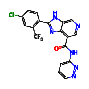 O=C(Nc1cccnn1)c1cncc2[nH]c(-c3ccc(Cl)cc3C(F)(F)F)nc12